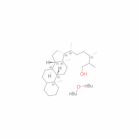 CC(CO)[C@@H](C)CC[C@@H](C)[C@H]1CC[C@H]2[C@@H]3CCC4CCCC[C@]4(C)[C@H]3CC[C@]12C.CCCCOCCCC